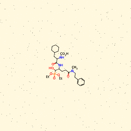 CCOP(=O)(OCC)C(O)C(CCC(=O)N(C)CCc1ccccc1)NC(=O)C(CC1CCCCC1)NC(=O)O